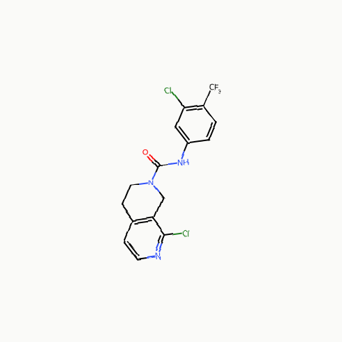 O=C(Nc1ccc(C(F)(F)F)c(Cl)c1)N1CCc2ccnc(Cl)c2C1